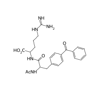 CC(=O)NC(Cc1ccc(C(=O)c2ccccc2)cc1)C(=O)NC(CCCNC(=N)N)C(=O)O